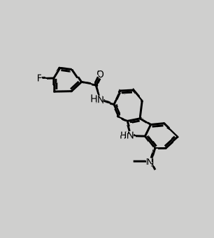 CN(C)c1cccc2c3c([nH]c12)C=C(NC(=O)c1ccc(F)cc1)C=CC3